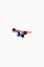 Cc1c(C(=O)NCC2CCCCO2)sc2ncnc(Nc3ccc(F)cc3O[C@H]3CC[C@H](O)CC3)c12